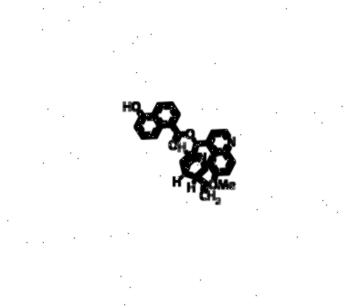 C=C[C@H]1CN2CC[C@H]1C[C@@H]2[C@@H](OC(=O)c1cccc2c(O)cccc12)c1ccnc2ccc(OC)cc12